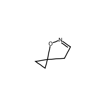 C1=NOC2(C1)CC2